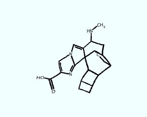 CNC1CC2C3CCC2C2(C1=Cn1cc(C(=O)O)nc12)C1C2CCC2C31